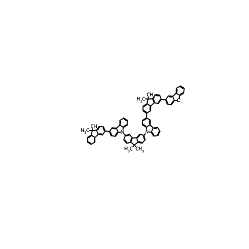 CC1(C)c2ccccc2-c2cc(-c3ccc4c(c3)c3ccccc3n4-c3ccc4c(c3)-c3cc(-n5c6ccccc6c6cc(-c7ccc8c(c7)-c7cc(-c9ccc%10oc%11ccccc%11c%10c9)ccc7C8(C)C)ccc65)ccc3C4(C)C)ccc21